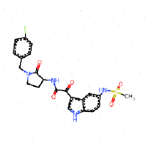 CS(=O)(=O)Nc1ccc2[nH]cc(C(=O)C(=O)NC3CCN(Cc4ccc(F)cc4)C3=O)c2c1